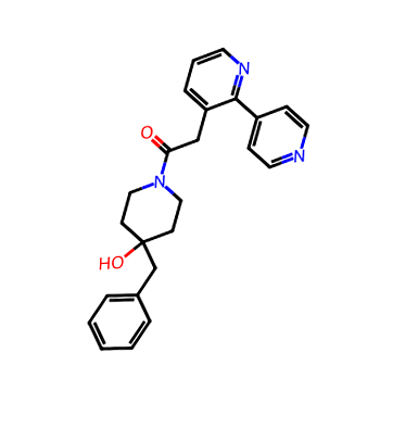 O=C(Cc1cccnc1-c1ccncc1)N1CCC(O)(Cc2ccccc2)CC1